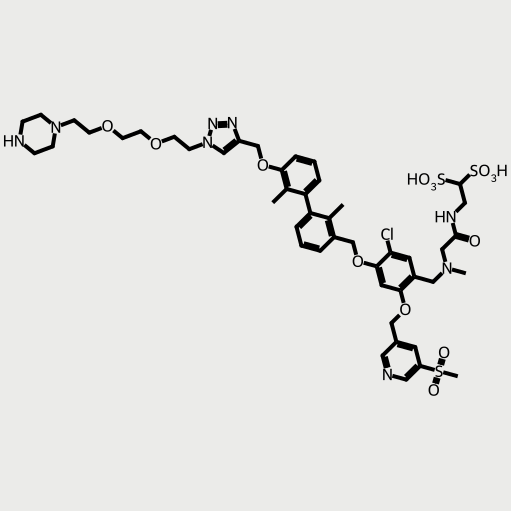 Cc1c(COc2cc(OCc3cncc(S(C)(=O)=O)c3)c(CN(C)CC(=O)NCC(S(=O)(=O)O)S(=O)(=O)O)cc2Cl)cccc1-c1cccc(OCc2cn(CCOCCOCCN3CCNCC3)nn2)c1C